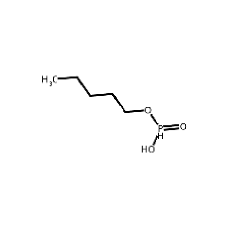 CCCCCO[PH](=O)O